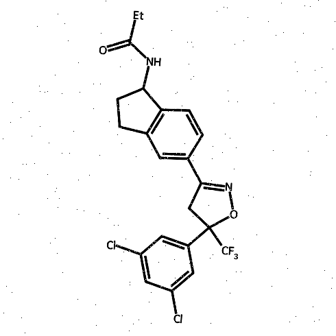 CCC(=O)NC1CCc2cc(C3=NOC(c4cc(Cl)cc(Cl)c4)(C(F)(F)F)C3)ccc21